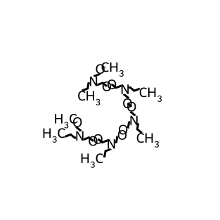 CCCCN(CCOC)CCOOCCN(CCCC)CCOOCCN(CCCC)CCOOCCN(CCCC)CCOOCCN(CCCC)CCOC